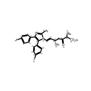 CC(C)c1nc(-c2ccc(F)cc2)c(-c2ccc(F)cc2)n1C=C[C@@H](O)CC(=O)C(C(=O)O)C(C)(C)C